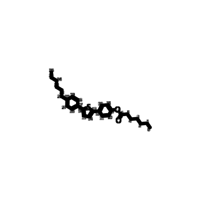 CCCCCCC(=O)Oc1ccc(-c2ccc(-c3ccc(CCCCCC)cc3)s2)cc1